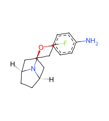 Nc1ccc(O[C@H]2C[C@H]3CC[C@@H](C2)N3CCCF)cc1